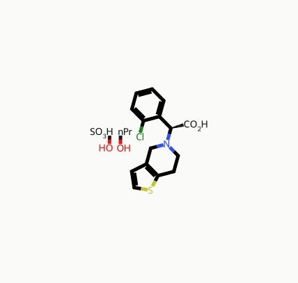 CCCO.O=C(O)[C@H](c1ccccc1Cl)N1CCc2sccc2C1.O=S(=O)(O)O